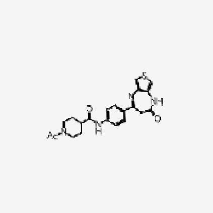 CC(=O)N1CCC(C(=O)Nc2ccc(C3=Nc4cscc4NC(=O)C3)cc2)CC1